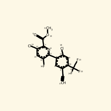 C#Cc1cc(-c2nc(C(=O)OC)c(Cl)cc2F)c(Cl)cc1C(F)(F)F